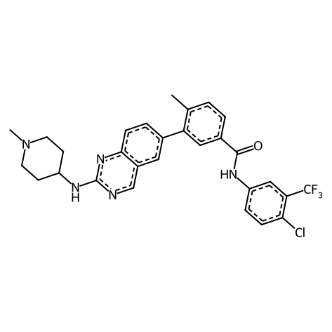 Cc1ccc(C(=O)Nc2ccc(Cl)c(C(F)(F)F)c2)cc1-c1ccc2nc(NC3CCN(C)CC3)ncc2c1